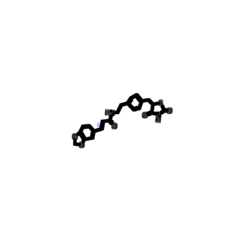 O=C(/C=C/c1ccc2c(c1)OCO2)NCCc1ccc(CC2SC(=O)NC2=O)cc1